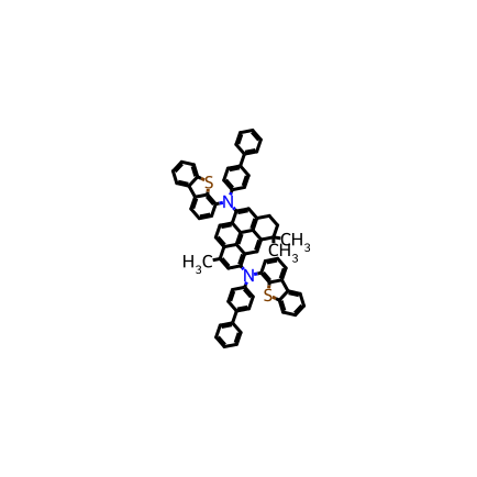 Cc1cc(N(c2ccc(-c3ccccc3)cc2)c2cccc3c2sc2ccccc23)c2cc3c4c(cc(N(c5ccc(-c6ccccc6)cc5)c5cccc6c5sc5ccccc56)c5ccc1c2c54)CCC3(C)C